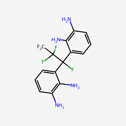 Nc1cccc(C(F)(c2cccc(N)c2N)C(F)(F)C(F)(F)F)c1N